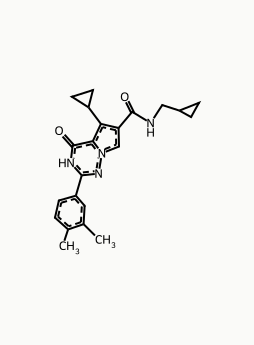 Cc1ccc(-c2nn3cc(C(=O)NCC4CC4)c(C4CC4)c3c(=O)[nH]2)cc1C